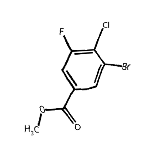 COC(=O)c1cc(F)c(Cl)c(Br)c1